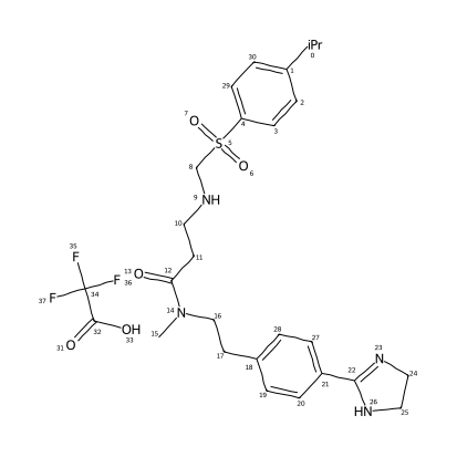 CC(C)c1ccc(S(=O)(=O)CNCCC(=O)N(C)CCc2ccc(C3=NCCN3)cc2)cc1.O=C(O)C(F)(F)F